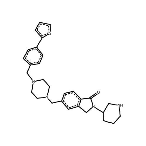 O=C1c2ccc(CN3CCN(Cc4ccc(-c5cccs5)cc4)CC3)cc2CN1C1CCCNC1